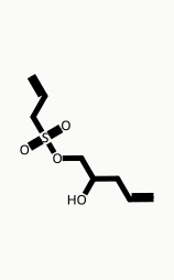 C=CCC(O)COS(=O)(=O)CC=C